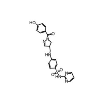 O=C(c1ccc(O)cc1)N1CC(CNc2ccc(S(=O)(=O)Nc3ncccn3)cc2)C=N1